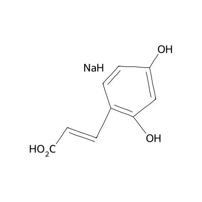 O=C(O)C=Cc1ccc(O)cc1O.[NaH]